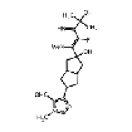 CN/C(=C(/F)C(=N)C(C)(C)O)C1(O)CC2CC(c3ncn(C)c3C=O)CC2C1